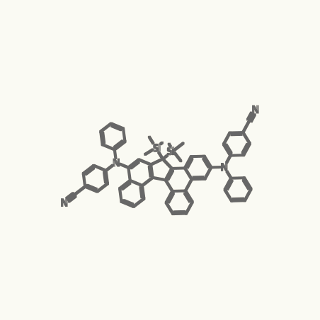 C[Si](C)(C)C1([Si](C)(C)C)c2cc(N(c3ccccc3)c3ccc(C#N)cc3)c3ccccc3c2-c2c1c1ccc(N(c3ccccc3)c3ccc(C#N)cc3)cc1c1ccccc21